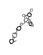 Cc1ccccc1N1CCN(c2ccc(OCC3COC(Cn4cncn4)(c4ccc(Cl)cc4Cl)O3)cc2)CC1